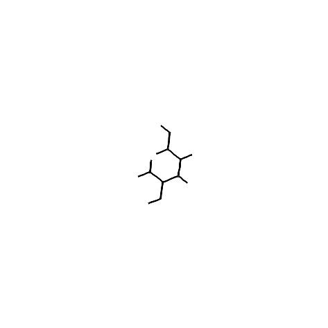 CC1OC(CO)C(O)C(O)C1CF